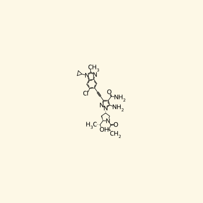 C=CC(=O)N1C[C@@H](n2nc(C#Cc3cc4nc(C)n(C5CC5)c4cc3Cl)c(C(N)=O)c2N)C[C@@H]1[C@@H](C)O